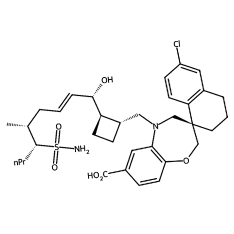 CCC[C@H]([C@H](C)C/C=C/[C@H](O)[C@@H]1CC[C@H]1CN1C[C@@]2(CCCc3cc(Cl)ccc32)COc2ccc(C(=O)O)cc21)S(N)(=O)=O